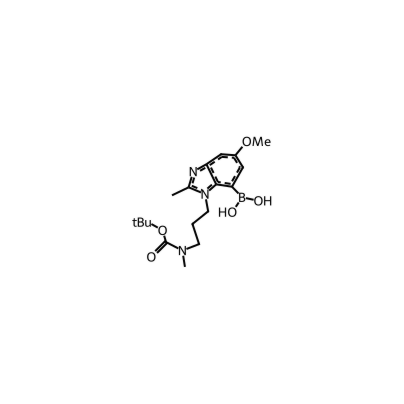 COc1cc(B(O)O)c2c(c1)nc(C)n2CCCN(C)C(=O)OC(C)(C)C